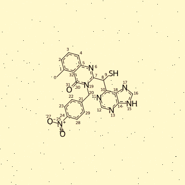 Cc1cccc2nc(C(S)c3ncnc4[nH]cnc34)n(Cc3ccc([N+](=O)[O-])cc3)c(=O)c12